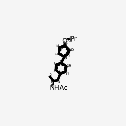 CC(=O)N[C@@H](C)Cc1ccc(-c2ccc(OC(C)C)cc2)cc1